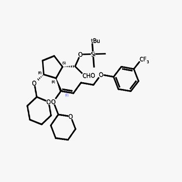 CC(C)(C)[Si](C)(C)OC(C=O)[C@H]1CC[C@@H](OC2CCCCO2)[C@@H]1/C(=C\CCOc1cccc(C(F)(F)F)c1)OC1CCCCO1